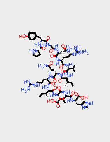 CC[C@H](C)[C@H](NC(=O)[C@H](CCCNC(=N)N)NC(=O)[C@H](CCC(N)=O)NC(=O)[C@@H](NC(=O)[C@@H](NC(=O)[C@H](CCCNC(=N)N)NC(=O)[C@H](CC(N)=O)NC(=O)CNC(=O)[C@H](Cc1ccc(O)cc1)NC(=O)[C@@H]1CCCN1)C(C)C)[C@@H](C)CC)C(=O)N[C@@H](CC(C)C)C(=O)N[C@@H](CCC(=O)O)C(=O)N[C@@H](Cc1c[nH]cn1)C(=O)O